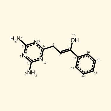 Nc1nc(N)nc(CC=C(O)c2ccccc2)n1